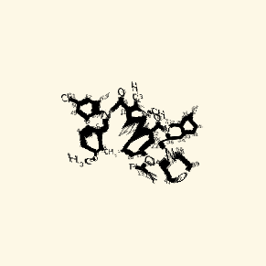 COc1cccc(CN(C(=O)c2cc(-c3ccc(OC(F)F)cc3C(=O)N3Cc4ccccc4C[C@H]3CN3CCOCC3)n(C)c2C)c2ccc(Cl)cc2)c1C